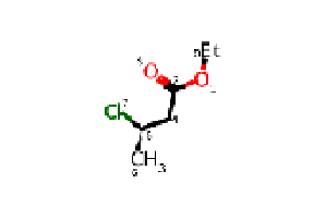 CCOC(=O)C[C@@H](C)Cl